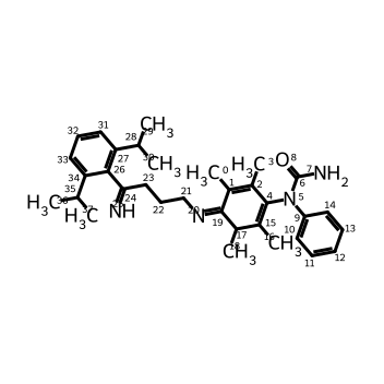 CC1=C(C)C(N(C(N)=O)c2ccccc2)=C(C)C(C)C1=NCCCC(=N)c1c(C(C)C)cccc1C(C)C